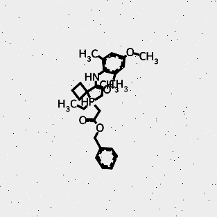 CC[PH](CC)(CC(=O)OCc1ccccc1)C1(C(=O)Nc2c(C)cc(OC)cc2C)CCC1